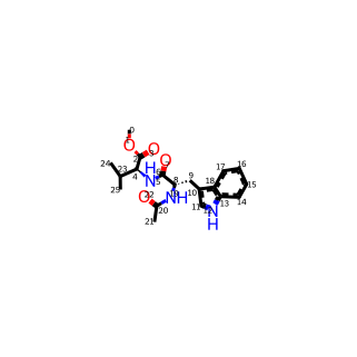 COC(=O)[C@@H](NC(=O)[C@H](Cc1c[nH]c2ccccc12)NC(C)=O)C(C)C